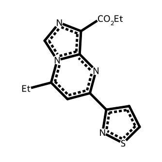 CCOC(=O)c1ncn2c(CC)cc(-c3ccsn3)nc12